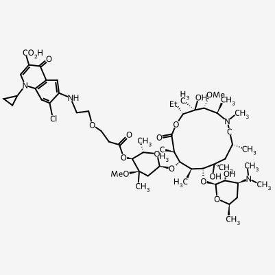 CC[C@H]1OC(=O)[C@H](C)[C@@H](O[C@H]2C[C@@](C)(OC)[C@@H](OC(=O)CCOCCNc3cc4c(=O)c(C(=O)O)cn(C5CC5)c4cc3Cl)[C@H](C)O2)[C@H](C)[C@@H](O[C@@H]2O[C@H](C)C[C@H](N(C)C)[C@H]2O)[C@](C)(O)C[C@@H](C)CN(C)[C@H](C)[C@@H](OC)[C@]1(C)O